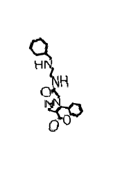 O=C(Cn1ncc2c(=O)oc3ccccc3c21)NCCNCC1CCCCC1